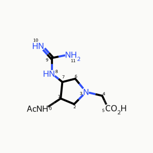 CC(=O)NC1CN(CC(=O)O)CC1NC(=N)N